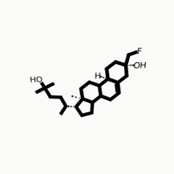 CC(CCC(C)(C)O)[C@H]1CCC2C3CC=C4C[C@](O)(CF)CC[C@@H]4C3CC[C@@]21C